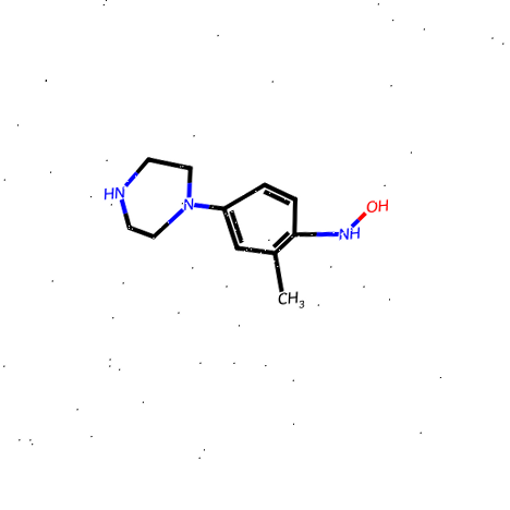 Cc1cc(N2CCNCC2)ccc1NO